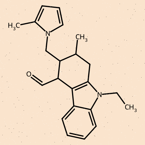 CCn1c2c(c3ccccc31)C(C=O)C(Cn1cccc1C)C(C)C2